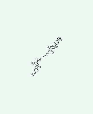 C/C(=C\S(=O)(=O)c1ccc(C)cc1)C(=O)OCCCCCCOC(=O)/C(C)=C/S(=O)(=O)c1ccc(C)cc1